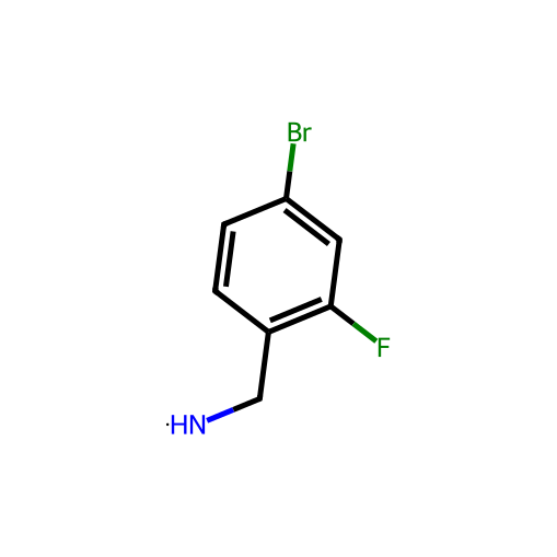 [NH]Cc1ccc(Br)cc1F